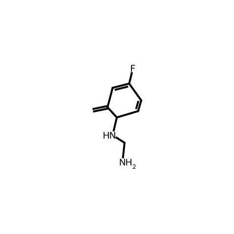 C=C1C=C(F)C=CC1NCN